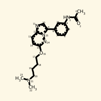 CC(=O)Nc1cccc(-c2cnc3ccc(OCCCCN(C)C)nn23)c1